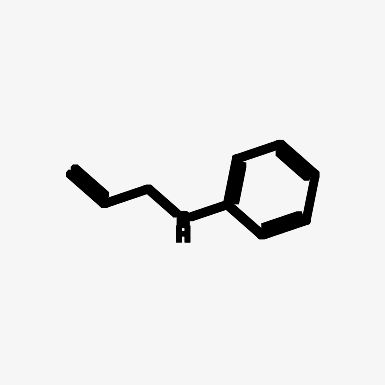 C=CCBc1ccccc1